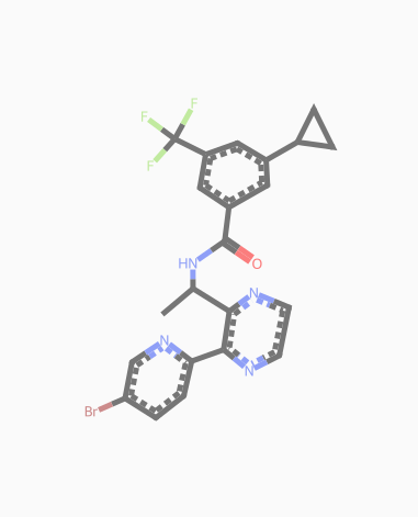 CC(NC(=O)c1cc(C2CC2)cc(C(F)(F)F)c1)c1nccnc1-c1ccc(Br)cn1